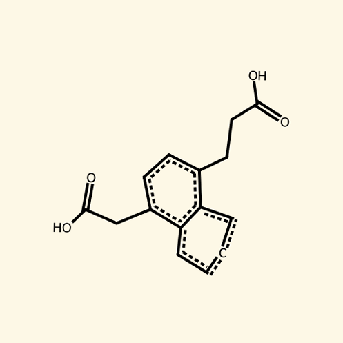 O=C(O)CCc1ccc(CC(=O)O)c2ccccc12